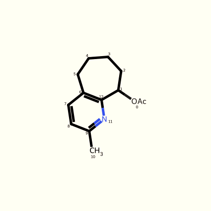 CC(=O)OC1CCCCc2ccc(C)nc21